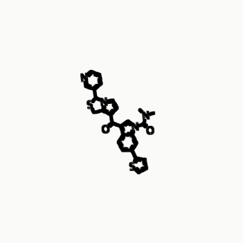 CN(C)C(=O)n1cc(C(=O)c2ccn3c2CSC3c2cccnc2)c2ccc(-c3cccs3)cc21